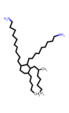 CCCCCC1CCC(CCCCCCCCCCN)C(CCCCCCCCCN)C1C[C@@H](C)CCCCC